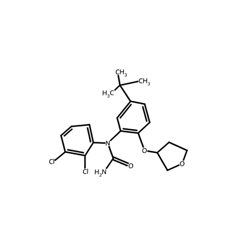 CC(C)(C)c1ccc(OC2CCOC2)c(N(C(N)=O)c2cccc(Cl)c2Cl)c1